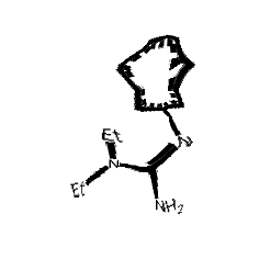 CCN(CC)C(N)=Nc1ccccc1